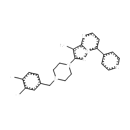 N#Cc1c(N2CCN(Cc3ccc(Cl)c(Cl)c3)CC2)nn2c(-c3ccncc3)ccnc12